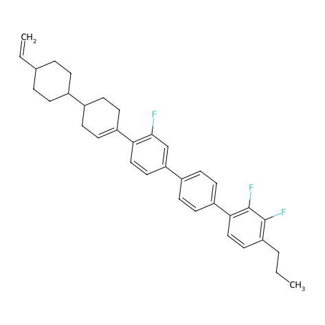 C=CC1CCC(C2CC=C(c3ccc(-c4ccc(-c5ccc(CCC)c(F)c5F)cc4)cc3F)CC2)CC1